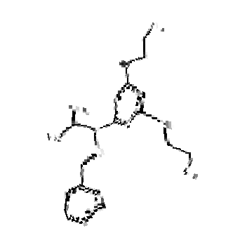 CCCNc1nc(NCCC)nc(N(OCc2ccccc2)C(C)C)n1